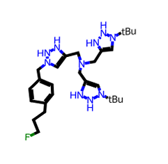 CC(C)(C)N1C=C(CN(CC2=CN(Cc3ccc(CCCF)cc3)NN2)CC2=CN(C(C)(C)C)NN2)NN1